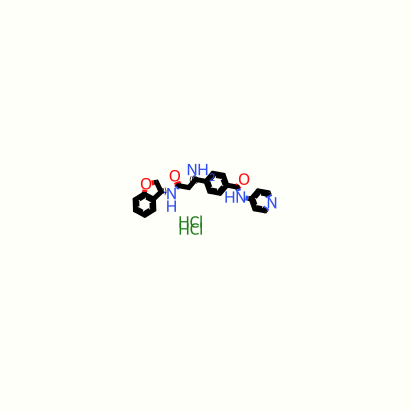 Cl.Cl.N[C@H](CC(=O)N[C@H]1COc2ccccc21)c1ccc(C(=O)Nc2ccncc2)cc1